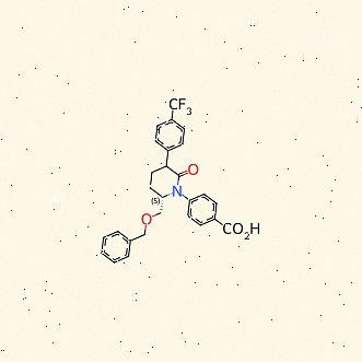 O=C(O)c1ccc(N2C(=O)C(c3ccc(C(F)(F)F)cc3)CC[C@H]2COCc2ccccc2)cc1